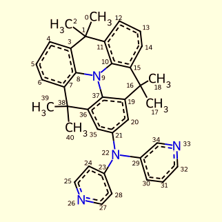 CC1(C)c2cccc3c2N2c4c1cccc4C(C)(C)c1cc(N(c4ccncc4)c4cccnc4)cc(c12)C3(C)C